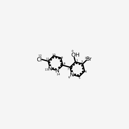 Oc1c(Br)ccnc1-c1ccc(Cl)nn1